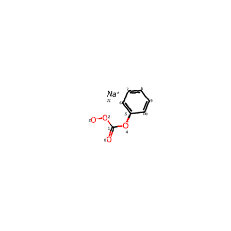 O=C(O[O-])Oc1ccccc1.[Na+]